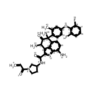 C=CC(=O)N1CCC(NC(=O)c2sc3c(N)ccc4c3c2C(N)C(=O)C4(N)c2ccc(Oc3c(F)cccc3F)cc2C)C1